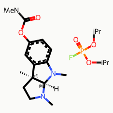 CC(C)OP(=O)(F)OC(C)C.CNC(=O)Oc1ccc2c(c1)[C@]1(C)CCN(C)[C@@H]1N2C